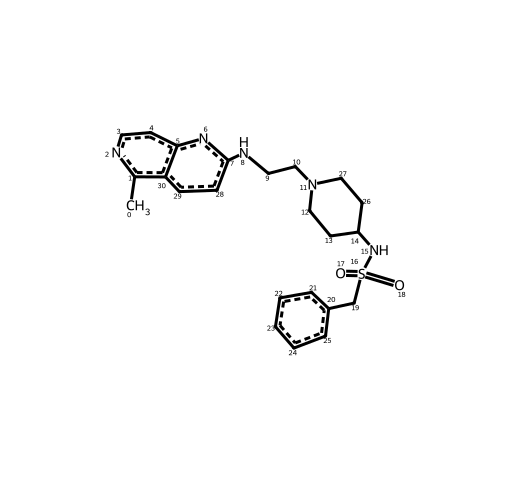 Cc1nccc2nc(NCCN3CCC(NS(=O)(=O)Cc4ccccc4)CC3)ccc12